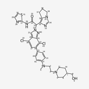 CN(CCN1CCC(CO)CC1)c1ccc(-c2cc(Cl)c3cn(C(C(=O)Nc4nccs4)c4ncn5c4CCC5)nc3c2Cl)cc1